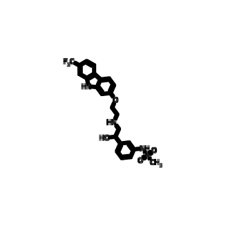 CS(=O)(=O)Nc1cccc(C(O)CNCCOc2ccc3c(c2)[nH]c2cc(C(F)(F)F)ccc23)c1